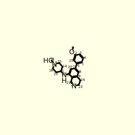 COc1cccc(-c2cc3c(c(NC4CCN(O)CC4)c2)C=NCC3)c1